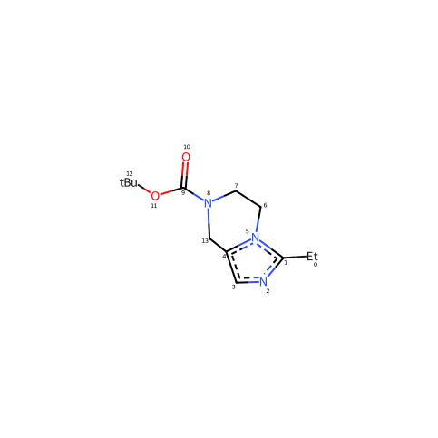 CCc1ncc2n1CCN(C(=O)OC(C)(C)C)C2